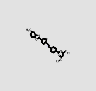 CCOc1cc(OCC)nc(-c2ccc(/C=C/c3ccc(-c4nc5cc(C)ccc5o4)cc3)cc2)n1